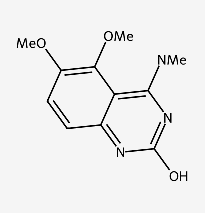 CNc1nc(O)nc2ccc(OC)c(OC)c12